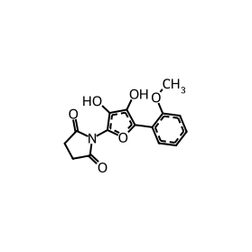 COc1ccccc1-c1oc(N2C(=O)CCC2=O)c(O)c1O